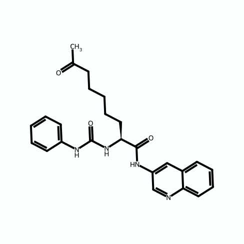 CC(=O)CCCCC[C@H](NC(=O)Nc1ccccc1)C(=O)Nc1cnc2ccccc2c1